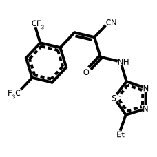 CCc1nnc(NC(=O)C(C#N)=Cc2ccc(C(F)(F)F)cc2C(F)(F)F)s1